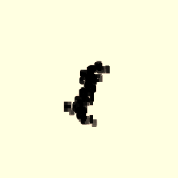 COc1c(CN2CCC(C(=O)O)C2)cc(Cl)c(OC2CCc3c(-c4cccc(NC(=O)c5nc6c(n5C)CCN(C)C6)c4Cl)cccc32)c1Cl